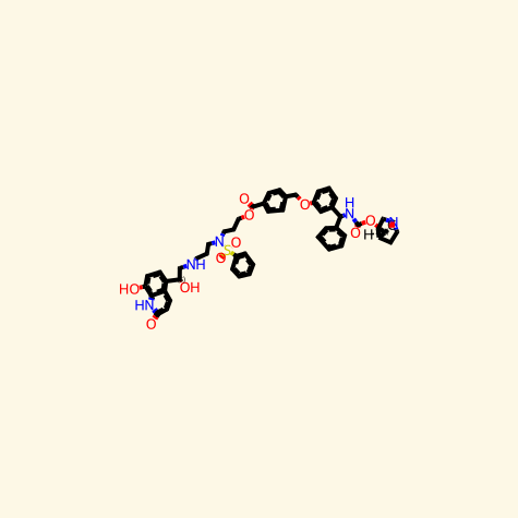 O=C(NC(c1ccccc1)c1cccc(OCc2ccc(C(=O)OCCCN(CCCNC[C@@H](O)c3ccc(O)c4[nH]c(=O)ccc34)S(=O)(=O)c3ccccc3)cc2)c1)O[C@H]1CN2CCC1CC2